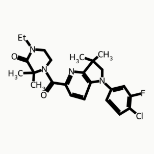 CCN1CCN(C(=O)c2ccc3c(n2)C(C)(C)CN3c2ccc(Cl)c(F)c2)C(C)(C)C1=O